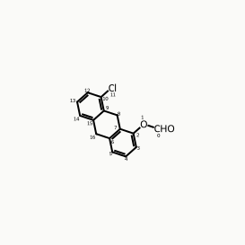 O=COc1cccc2c1Cc1c(Cl)cccc1C2